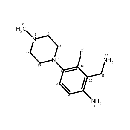 CN1CCN(c2ccc(N)c(CN)c2F)CC1